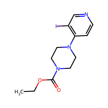 CCOC(=O)N1CCN(c2ccncc2I)CC1